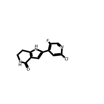 O=C1NCCc2[nH]c(-c3cc(Cl)ncc3F)cc21